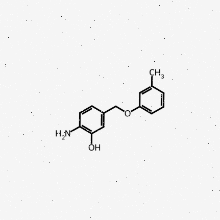 Cc1cccc(OCc2ccc(N)c(O)c2)c1